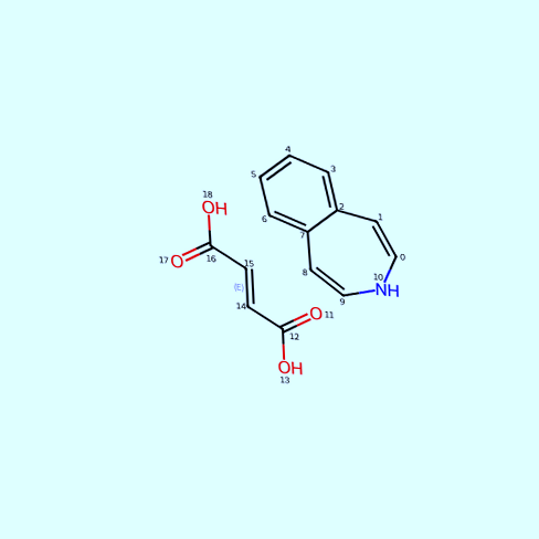 C1=Cc2ccccc2C=CN1.O=C(O)/C=C/C(=O)O